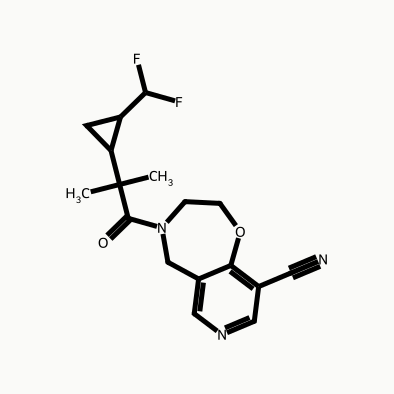 CC(C)(C(=O)N1CCOc2c(C#N)cncc2C1)C1CC1C(F)F